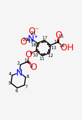 O=C(CN1CCCCC1)Oc1ccc(C(=O)O)cc1[N+](=O)[O-]